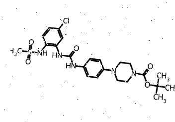 CC(C)(C)OC(=O)N1CCN(c2ccc(NC(=O)Nc3cc(Cl)ccc3NS(C)(=O)=O)cc2)CC1